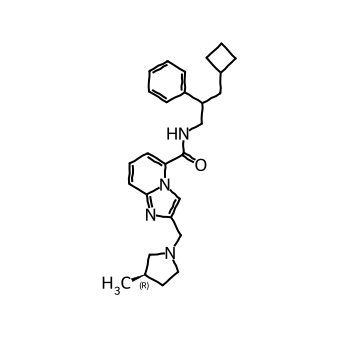 C[C@@H]1CCN(Cc2cn3c(C(=O)NCC(CC4CCC4)c4ccccc4)cccc3n2)C1